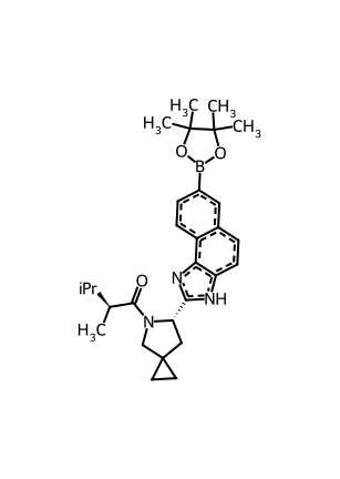 CC(C)[C@H](C)C(=O)N1CC2(CC2)C[C@H]1c1nc2c(ccc3cc(B4OC(C)(C)C(C)(C)O4)ccc32)[nH]1